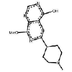 COc1nc(C2CCN(C)CC2)cc2c(O)ncnc12